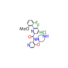 COc1cccc(F)c1-c1nc(C(=O)Nc2cnccc2OC2CCCNCC2)ccc1F.Cl